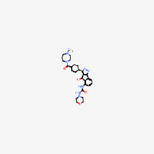 CN1CCCN(C(=O)C2CCC(C3=C4C(=O)c5c(NC(=O)NN6CCOCC6)cccc5C4N=N3)CC2)CC1